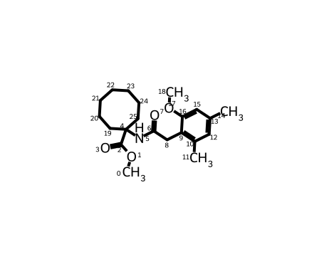 COC(=O)C1(NC(=O)Cc2c(C)cc(C)cc2OC)CCCCCCC1